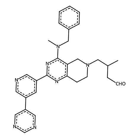 CC(CC=O)CN1CCc2nc(-c3cncc(-c4cncnc4)c3)nc(N(C)Cc3ccccc3)c2C1